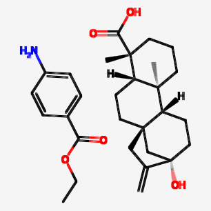 C=C1C[C@@]23CC[C@H]4[C@@](C)(CCC[C@@]4(C)C(=O)O)[C@@H]2CC[C@]1(O)C3.CCOC(=O)c1ccc(N)cc1